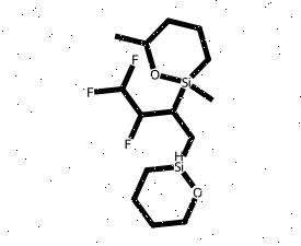 CC1CCC[Si](C)(C(C[SiH]2CCCCO2)C(F)C(F)F)O1